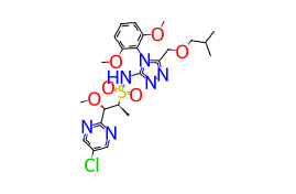 COc1cccc(OC)c1-n1c(COCC(C)C)nnc1NS(=O)(=O)[C@@H](C)[C@H](OC)c1ncc(Cl)cn1